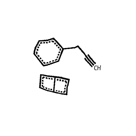 C#CCc1ccccc1.c1cc2ccc1-2